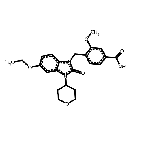 CCOc1ccc2c(c1)n(C1CCOCC1)c(=O)n2Cc1ccc(C(=O)O)cc1OC